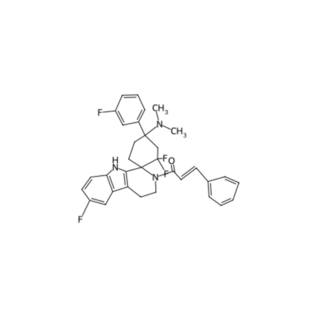 CN(C)C1(c2cccc(F)c2)CCC2(c3[nH]c4ccc(F)cc4c3CCN2C(=O)C=Cc2ccccc2)C(F)(F)C1